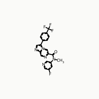 CN(C(=O)c1cn2c(-c3ccc(C(F)(F)F)cc3)cnc2cn1)c1cncc(F)c1